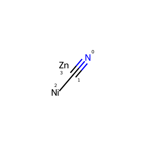 N#[C][Ni].[Zn]